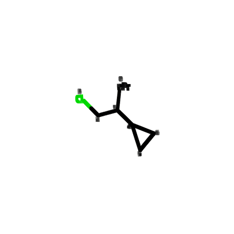 CCCC(CCl)C1CC1